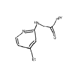 CCCC(=O)Nc1cc(CC)ccn1